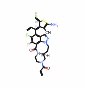 C=CC(=O)N1CCN2C(=O)c3c(F)c(F)c(/C(C=C)=c4\c(C#N)c(N)s\c4=C/F)c4cnn(c34)CC[C@H]2C1